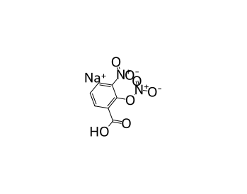 O=C(O)c1cccc([N+](=O)[O-])c1O[N+](=O)[O-].[Na+]